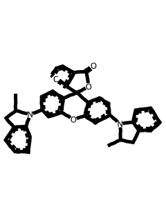 CC1Cc2ccccc2N1c1ccc2c(c1)Oc1cc(N3c4ccccc4CC3C)ccc1C21OC(=O)c2ccccc21